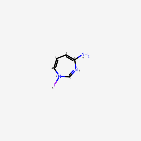 NC1=CC=CN(I)C=N1